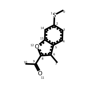 CSc1ccc2c(C)c(C(C)=O)oc2c1